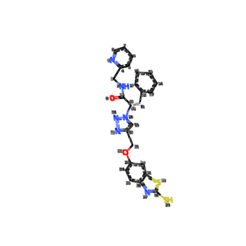 O=C(NCc1ccccn1)[C@H](Cc1ccccc1)n1cc(COc2ccc3nc(S)sc3c2)nn1